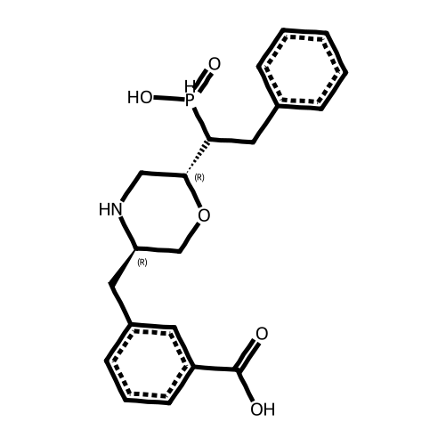 O=C(O)c1cccc(C[C@@H]2CO[C@@H](C(Cc3ccccc3)[PH](=O)O)CN2)c1